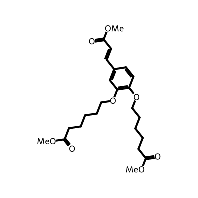 COC(=O)/C=C/c1ccc(OCCCCCC(=O)OC)c(OCCCCCC(=O)OC)c1